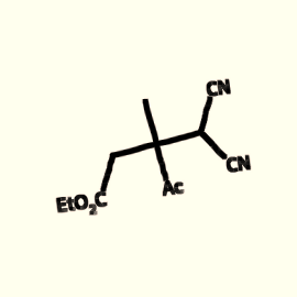 CCOC(=O)CC(C)(C(C)=O)C(C#N)C#N